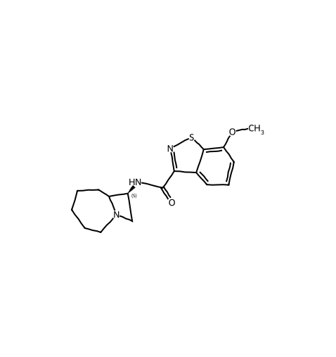 COc1cccc2c(C(=O)N[C@H]3CN4CCCCCC34)nsc12